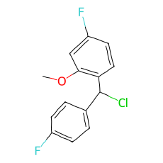 COc1cc(F)ccc1C(Cl)c1ccc(F)cc1